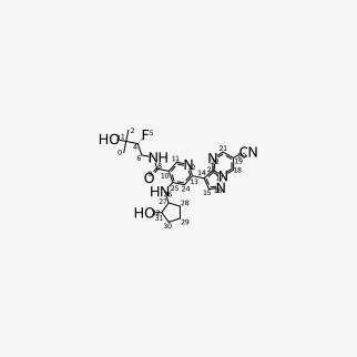 CC(C)(O)[C@H](F)CNC(=O)c1cnc(-c2cnn3cc(C#N)cnc23)cc1NC1CCCC1O